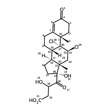 C[C@]12CCC(=O)C=C1CC[C@H]1[C@@H]3CC[C@](O)(C(=O)C(O)CC(=O)O)[C@@]3(C)C[C@H](Cl)[C@@]12Cl